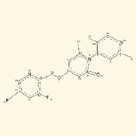 Cc1cc(-n2c(C)cc(OCc3ncc(F)cc3F)cc2=O)c(C)cn1